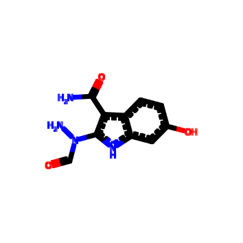 NC(=O)c1c(N(N)C=O)[nH]c2cc(O)ccc12